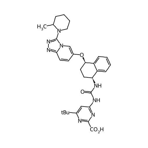 CC1CCCCN1c1nnc2ccc(O[C@@H]3CC[C@H](NC(=O)Nc4cc(C(C)(C)C)nc(C(=O)O)n4)c4ccccc43)cn12